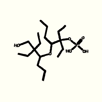 CCCC(OC(CCC)C(CC)(CC)OP(=O)(O)O)C(CC)(CC)CO